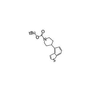 CC(C)(C)OC(=O)N1CCC(c2cccc3sccc23)CC1